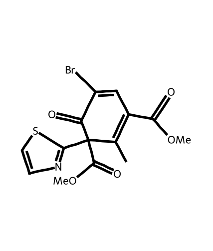 COC(=O)C1=C(C)C(C(=O)OC)(c2nccs2)C(=O)C(Br)=C1